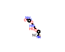 N#Cc1nnsc1-c1cccc(OCC(O)CNCCOc2ccc(C(N)=O)cc2)c1